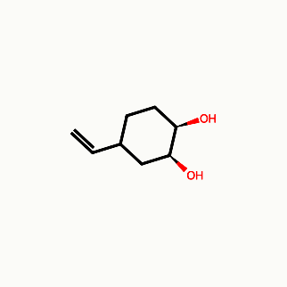 C=CC1CC[C@@H](O)[C@@H](O)C1